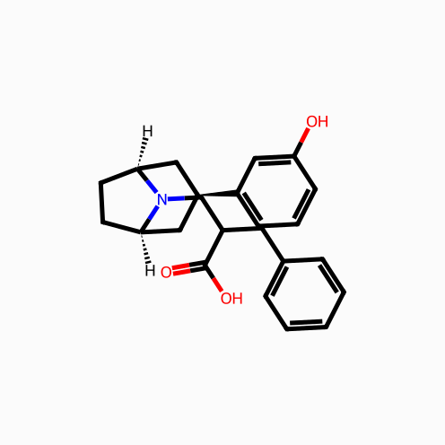 O=C(O)C(Cc1ccccc1)CN1[C@@H]2CC[C@H]1C[C@@H](c1cccc(O)c1)C2